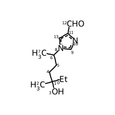 CCC(C)(O)CCC(C)n1cnc(C=O)c1